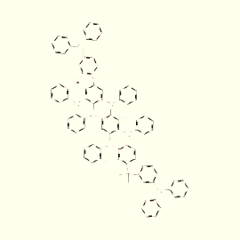 Cc1c2c(c(C)c3c1B1c4ccccc4N(c4ccccc4)c4c1c(cc1c4C(C)(C)c4cc(N(c5ccccc5)c5ccccc5)ccc4-1)N3c1ccccc1)N(c1ccccc1)c1cc3c(c4c1B2c1ccccc1O4)C(C)(C)c1cc(N(c2ccccc2)c2ccccc2)ccc1-3